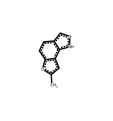 Cc1cc2c(ccc3cn[nH]c32)o1